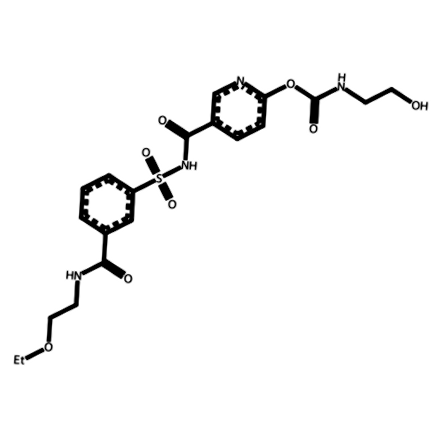 CCOCCNC(=O)c1cccc(S(=O)(=O)NC(=O)c2ccc(OC(=O)NCCO)nc2)c1